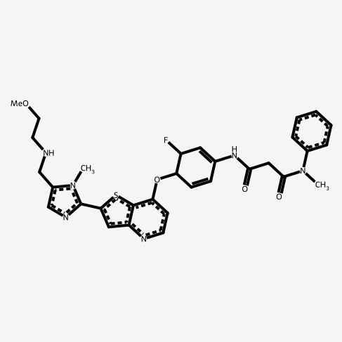 COCCNCc1cnc(-c2cc3nccc(OC4C=CC(NC(=O)CC(=O)N(C)c5ccccc5)=CC4F)c3s2)n1C